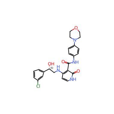 O=C(Nc1ccc(N2CCOCC2)cc1)c1c(NC[C@@H](O)c2cccc(Cl)c2)cc[nH]c1=O